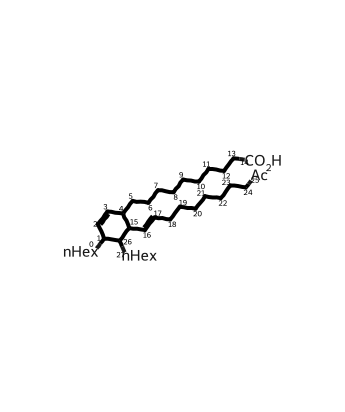 CCCCCCC1C=CC(CCCCCCCCCC(=O)O)C(/C=C/CCCCCCCC(C)=O)C1CCCCCC